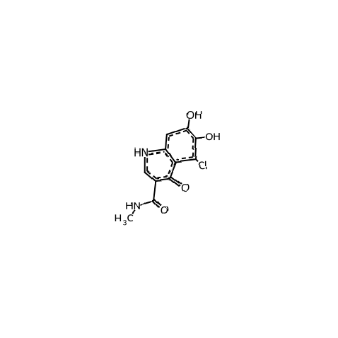 CNC(=O)c1c[nH]c2cc(O)c(O)c(Cl)c2c1=O